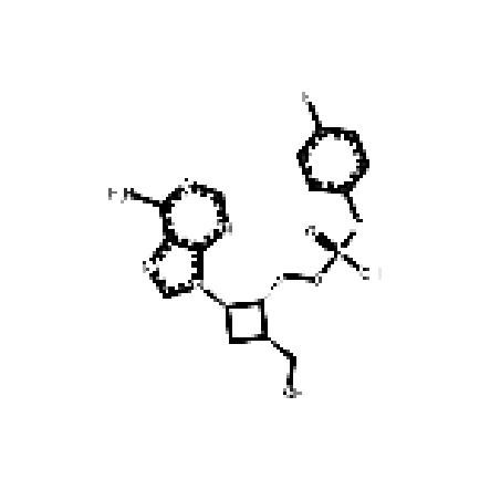 Nc1ncnc2c1ncn2[C@@H]1C[C@H](CO)[C@H]1COP(=O)(O)Oc1ccc(F)cc1